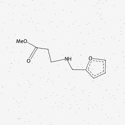 COC(=O)CCNCc1ccco1